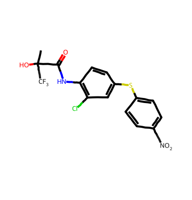 CC(O)(C(=O)Nc1ccc(Sc2ccc([N+](=O)[O-])cc2)cc1Cl)C(F)(F)F